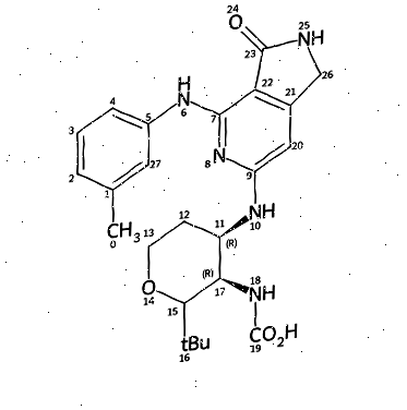 Cc1cccc(Nc2nc(N[C@@H]3CCOC(C(C)(C)C)[C@@H]3NC(=O)O)cc3c2C(=O)NC3)c1